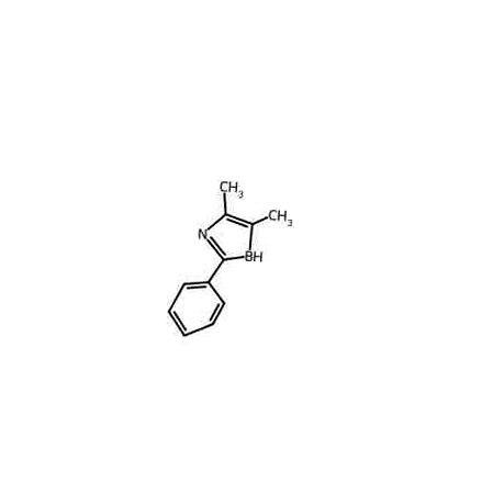 CC1=C(C)N=C(c2ccccc2)B1